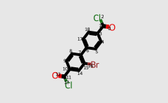 O=C(Cl)c1ccc(-c2ccc(C(=O)Cl)cc2Br)cc1